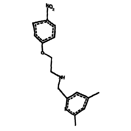 Cc1cc(C)nc(CNCCOc2ccc([N+](=O)[O-])cc2)c1